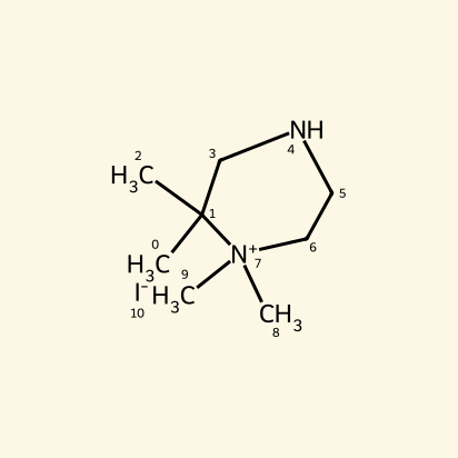 CC1(C)CNCC[N+]1(C)C.[I-]